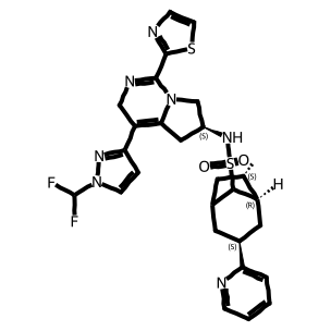 C[C@H]1CC2C[C@H](c3ccccn3)C[C@H]1C2S(=O)(=O)N[C@H]1CC2=C(c3ccn(C(F)F)n3)CN=C(c3nccs3)N2C1